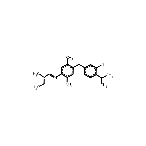 CCN(C)C=Nc1cc(C)c(Cc2ccc(C(C)C)c(Cl)c2)cc1C